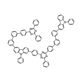 c1ccc(-c2nc(-c3ccccc3)nc(-c3ccc(-c4cccc(-c5cccc(-c6ccc7c(c6)c6ccc(-c8ccc(-c9nc(-c%10ccccc%10)nc(-c%10ccc(-c%11cccc(-c%12cccc(-c%13ccc%14c(c%13)c%13ccccc%13n%14-c%13ccccc%13)c%12)c%11)cc%10)n9)cc8)cc6n7-c6ccccc6)c5)c4)cc3)n2)cc1